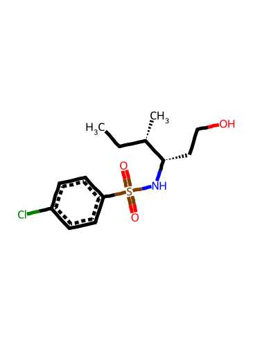 CC[C@H](C)[C@H](CCO)NS(=O)(=O)c1ccc(Cl)cc1